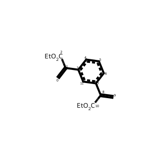 C=C(C(=O)OCC)c1cccc(C(=C)C(=O)OCC)c1